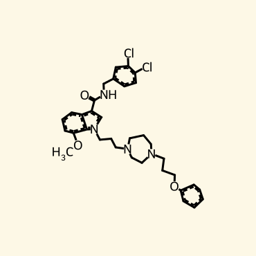 COc1cccc2c(C(=O)NCc3ccc(Cl)c(Cl)c3)cn(CCCN3CCCN(CCCOc4ccccc4)CC3)c12